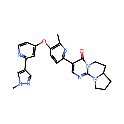 Cc1nc(-c2cnc3n(c2=O)CCC2CCCN32)ccc1Oc1ccnc(-c2cnn(C)c2)c1